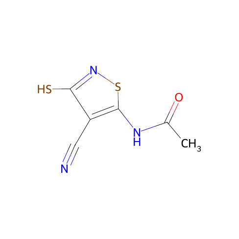 CC(=O)Nc1snc(S)c1C#N